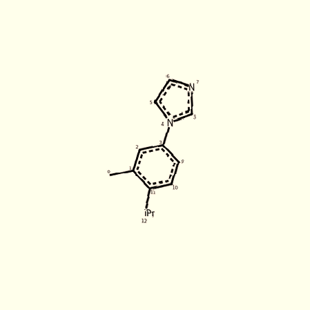 Cc1cc(-n2ccnc2)ccc1C(C)C